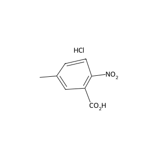 Cc1ccc([N+](=O)[O-])c(C(=O)O)c1.Cl